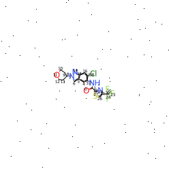 O=C(Nc1cc2cn(C3CCOCC3)nc2cc1Cl)c1nc(C(F)(F)F)cs1